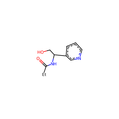 CCC(=O)NC(CO)c1cccnc1